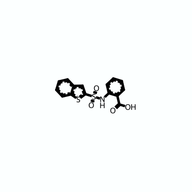 O=C(O)c1ccccc1NS(=O)(=O)c1cc2ccccc2s1